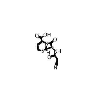 N#CCC(=O)N[C@@H]1C(=O)N2C(C(=O)O)=CCS[C@H]12